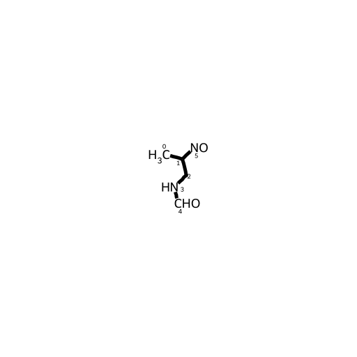 CC(CNC=O)N=O